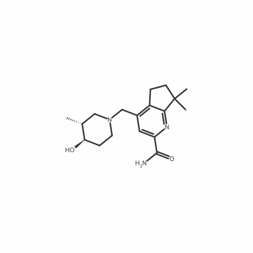 C[C@@H]1CN(Cc2cc(C(N)=O)nc3c2CCC3(C)C)CC[C@H]1O